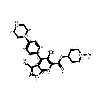 CCc1c(C(=O)OC2CCN(C(C)=O)CC2)nc2[nH]nc(C(C)C)c2c1-c1ccc(N2CCOCC2)cc1